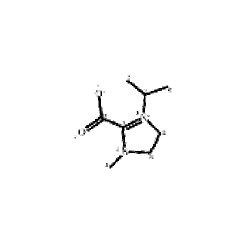 CC(C)[N+]1=C(C(=O)[O-])N(C)CC1